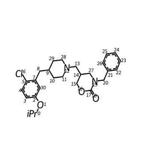 CC(C)Oc1ccc(Cl)c(CC2CCN(CC3COC(=O)N(Cc4ccccc4)C3)CC2)c1